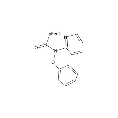 CCCCCC(=O)N(Oc1ccccc1)c1ccncn1